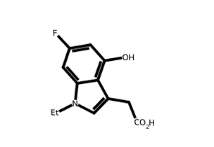 CCn1cc(CC(=O)O)c2c(O)cc(F)cc21